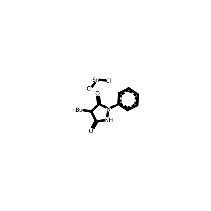 CCCCC1C(=O)NN(c2ccccc2)C1=O.[Cl][Sn][Cl]